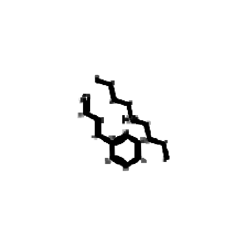 CCCCNCCCC.O=CC=Cc1ccccc1